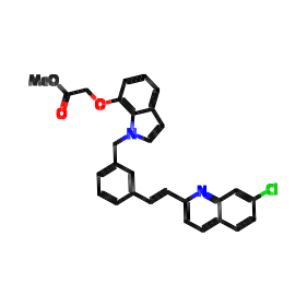 COC(=O)COc1cccc2ccn(Cc3cccc(/C=C/c4ccc5ccc(Cl)cc5n4)c3)c12